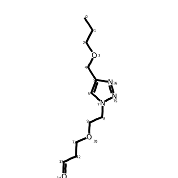 CCCOCc1cn(CCOCCC=O)nn1